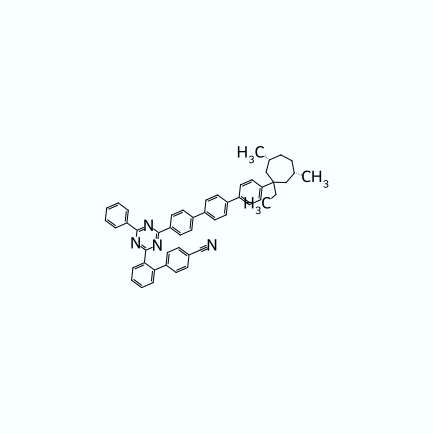 CCC1(c2ccc(-c3ccc(-c4ccc(-c5nc(-c6ccccc6)nc(-c6ccccc6-c6ccc(C#N)cc6)n5)cc4)cc3)cc2)C[C@H](C)CC[C@H](C)C1